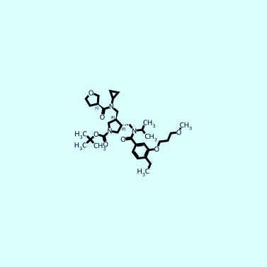 CCc1ccc(C(=O)N(C[C@@H]2CN(C(=O)OC(C)(C)C)C[C@H]2CN(C(=O)[C@H]2CCOC2)C2CC2)C(C)C)cc1OCCCOC